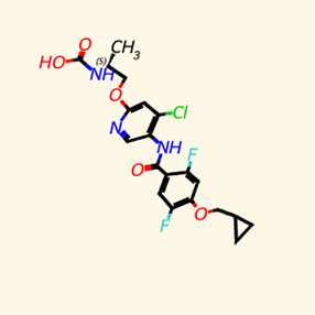 C[C@@H](COc1cc(Cl)c(NC(=O)c2cc(F)c(OCC3CC3)cc2F)cn1)NC(=O)O